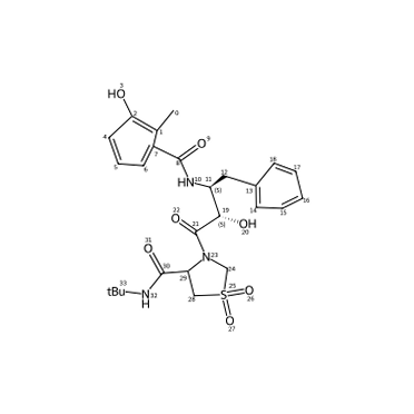 Cc1c(O)cccc1C(=O)N[C@@H](Cc1ccccc1)[C@H](O)C(=O)N1CS(=O)(=O)CC1C(=O)NC(C)(C)C